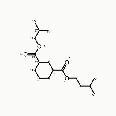 CC(C)CCOC(=O)C1CCCC(C(=O)OCC(C)C)C1